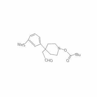 CSc1cccc(C2(CC=O)CCN(OC(=O)C(C)(C)C)CC2)c1